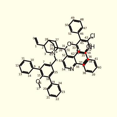 C=CC1C[N+]2(Cc3cc(-c4ccccc4)c(OC)c(-c4ccccc4)c3)CCC1CC2[C@@H](Oc1nc(-c2ccccc2)nc(Cl)c1-c1ccccc1)c1ccnc2ccc(O)cc12